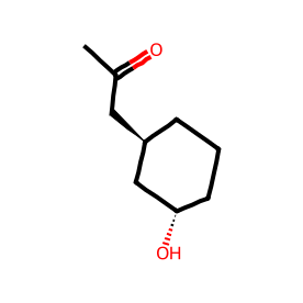 CC(=O)C[C@H]1CCC[C@H](O)C1